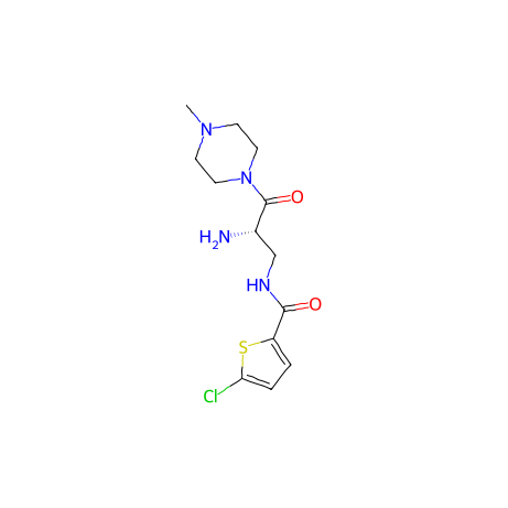 CN1CCN(C(=O)[C@@H](N)CNC(=O)c2ccc(Cl)s2)CC1